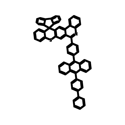 c1ccc(-c2ccc(-c3c4ccccc4c(-c4ccc(-c5nc6ccccc6c6cc7c(cc56)Sc5ccccc5C75c6ccccc6-c6ccccc65)cc4)c4ccccc34)cc2)cc1